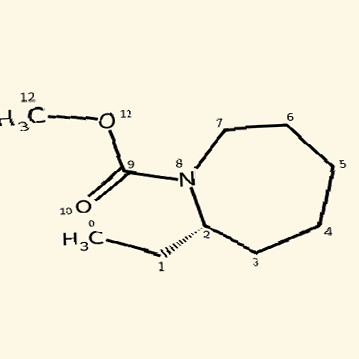 CC[C@H]1CCCCCN1C(=O)OC